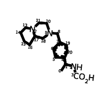 CC(NC(=O)O)c1ccc(CN2CCN3CCCCC3C2)cc1